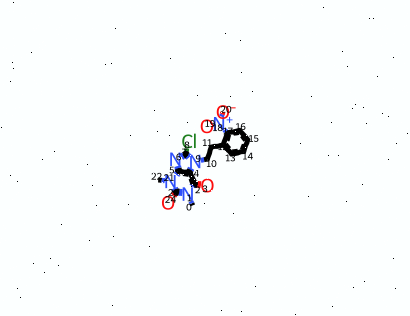 Cn1c(=O)c2c(nc(Cl)n2CCc2ccccc2[N+](=O)[O-])n(C)c1=O